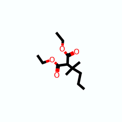 CCCC(C)(C)C(C(=O)OCC)C(=O)OCC